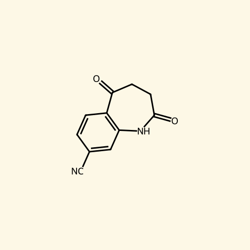 N#Cc1ccc2c(c1)NC(=O)CCC2=O